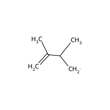 [CH2]C(C)C(=C)C